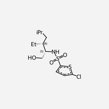 CC[C@H](CC(C)C)[C@@H](CO)NS(=O)(=O)c1ccc(Cl)s1